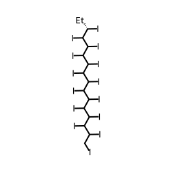 CC[C@H](I)C(I)C(I)C(I)C(I)C(I)C(I)C(I)C(I)C(I)C(I)C(I)C(I)CI